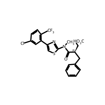 CN(C(=O)[C@@H](CC(=O)O)Cc1ccccc1)c1nc(-c2cc(Cl)ccc2C(F)(F)F)cs1